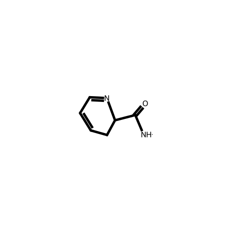 [NH]C(=O)C1CC=CC=N1